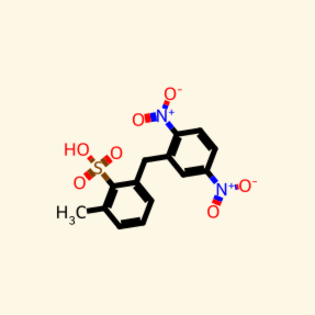 Cc1cccc(Cc2cc([N+](=O)[O-])ccc2[N+](=O)[O-])c1S(=O)(=O)O